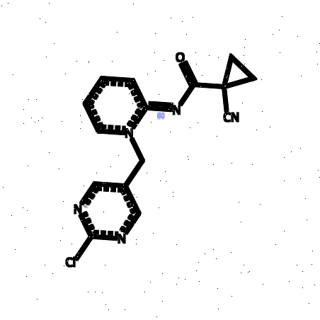 N#CC1(C(=O)/N=c2\ccccn2Cc2cnc(Cl)nc2)CC1